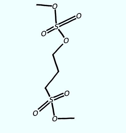 COS(=O)(=O)CCCOS(=O)(=O)OC